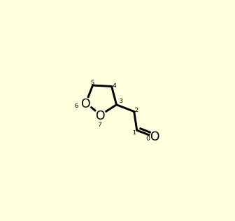 O=CCC1CCOO1